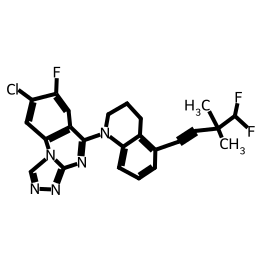 CC(C)(C#Cc1cccc2c1CCCN2c1nc2nncn2c2cc(Cl)c(F)cc12)C(F)F